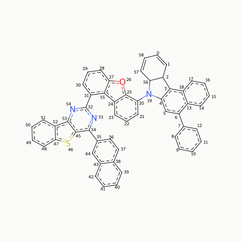 C1=CC2c3c(cc(-c4ccccc4)c4ccccc34)N(c3cccc4c3oc3cccc(-c5nc(-c6ccc7ccccc7c6)c6sc7ccccc7c6n5)c34)C2C=C1